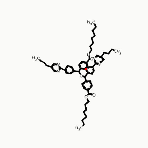 CCCCCCCCOC(=O)c1ccc(C(OC(c2ccc(C(=O)OCCCCCCCC)cc2)c2ccc(-c3ncc(CCCC)cn3)cc2)c2ccc(-c3ncc(CCCC)cn3)cc2)cc1